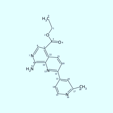 CCOC(=O)c1cnc(N)c2nc(-c3ccnc(C)c3)ccc12